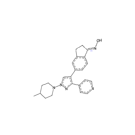 CC1CCN(n2cc(-c3ccc4c(c3)CC/C4=N\O)c(-c3ccncc3)n2)CC1